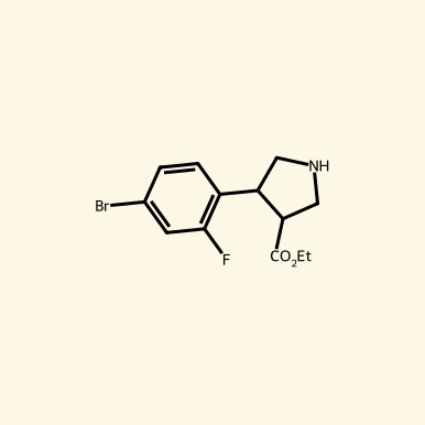 CCOC(=O)C1CNCC1c1ccc(Br)cc1F